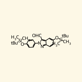 CC(C)(C)[Si](C)(C)Oc1ccc(-n2nc3ccc(O[Si](C)(C)C(C)(C)C)cc3c2C=O)cc1